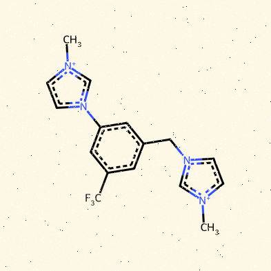 C[n+]1ccn(Cc2cc(-n3cc[n+](C)c3)cc(C(F)(F)F)c2)c1